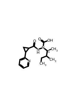 CCC(C)[C@H](C)N(NC(=O)C1CC1c1ccccn1)C(=O)O